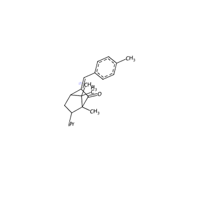 Cc1ccc(/C=C2\C(=O)C3(C)C(C(C)C)CC2C3(C)C)cc1